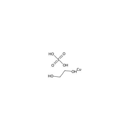 O=S(=O)(O)O.OCCO.[Cu]